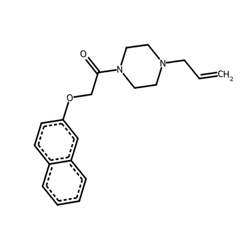 C=CCN1CCN(C(=O)COc2ccc3ccccc3c2)CC1